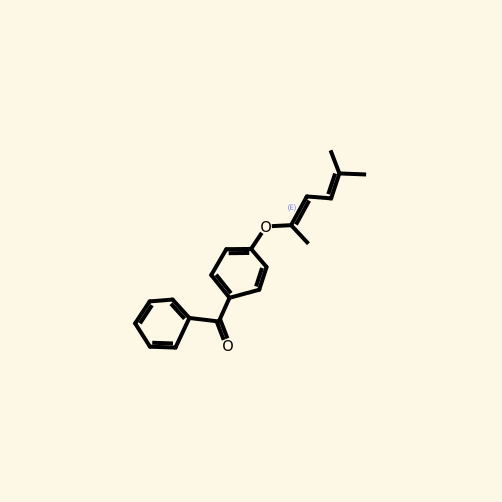 CC(C)=C/C=C(\C)Oc1ccc(C(=O)c2ccccc2)cc1